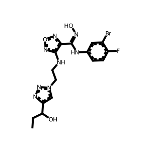 CCC(O)c1cn(CCNc2nonc2C(=NO)Nc2ccc(F)c(Br)c2)nn1